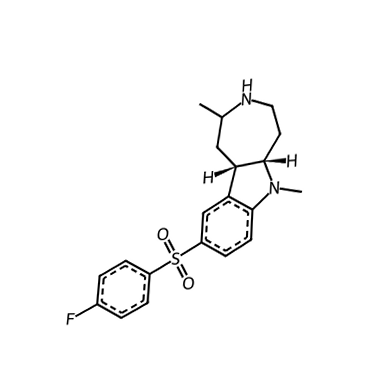 CC1C[C@H]2c3cc(S(=O)(=O)c4ccc(F)cc4)ccc3N(C)[C@H]2CCN1